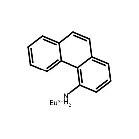 Nc1cccc2ccc3ccccc3c12.[Eu+3]